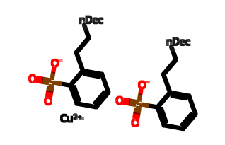 CCCCCCCCCCCCc1ccccc1S(=O)(=O)[O-].CCCCCCCCCCCCc1ccccc1S(=O)(=O)[O-].[Cu+2]